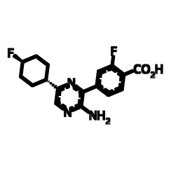 Nc1ncc([C@H]2CC[C@H](F)CC2)nc1-c1ccc(C(=O)O)c(F)c1